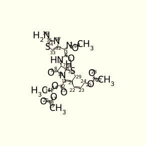 CO/N=C(\C(=O)N[C@@H]1C(=O)N2C(C(=O)OC(C)OC(C)=O)=C(/C=C\COC(C)=O)CS[C@@H]12)c1csc(N)n1